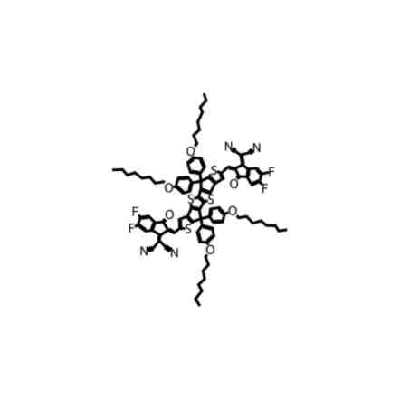 CCCCCCCCOc1ccc(C2(c3ccc(OCCCCCCCC)cc3)c3sc(/C=C4\C(=O)c5cc(F)c(F)cc5C4=C(C#N)C#N)cc3-c3sc4c5c(sc4c32)-c2cc(/C=C3\C(=O)c4cc(F)c(F)cc4C3=C(C#N)C#N)sc2C5(c2ccc(OCCCCCCCC)cc2)c2ccc(OCCCCCCCC)cc2)cc1